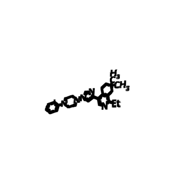 CCc1ncc(-c2cn(N3CCN(c4[c]cccc4)CC3)cn2)c2c1CC(C)(C)CC2